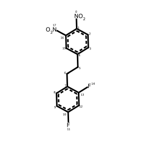 O=[N+]([O-])c1ccc(C[CH]c2ccc(F)cc2F)cc1[N+](=O)[O-]